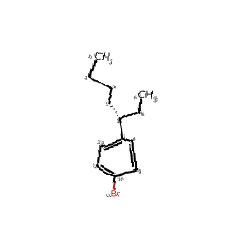 CCCC[C@H](CC)c1ccc(Br)cc1